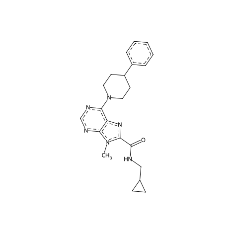 Cn1c(C(=O)NCC2CC2)nc2c(N3CCC(c4ccccc4)CC3)ncnc21